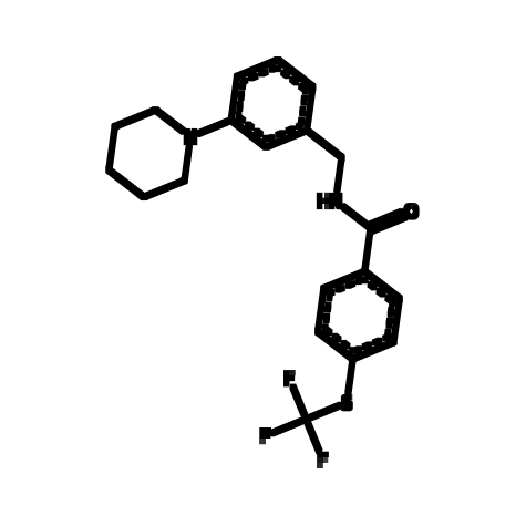 O=C(NCc1cccc(N2CCCCC2)c1)c1ccc(SC(F)(F)F)cc1